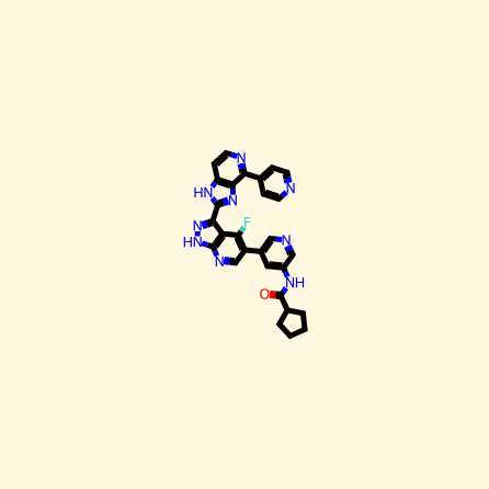 O=C(Nc1cncc(-c2cnc3[nH]nc(-c4nc5c(-c6ccncc6)nccc5[nH]4)c3c2F)c1)C1CCCC1